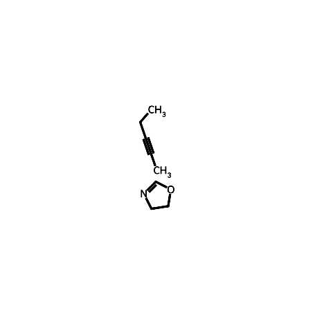 C1=NCCO1.CC#CCC